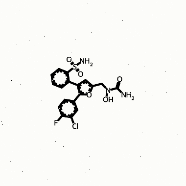 NC(=O)N(O)Cc1cc(-c2ccccc2S(N)(=O)=O)c(-c2ccc(F)c(Cl)c2)o1